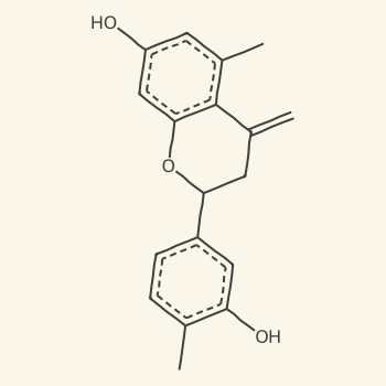 C=C1CC(c2ccc(C)c(O)c2)Oc2cc(O)cc(C)c21